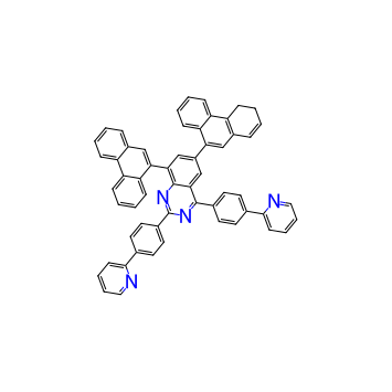 C1=Cc2cc(-c3cc(-c4cc5ccccc5c5ccccc45)c4nc(-c5ccc(-c6ccccn6)cc5)nc(-c5ccc(-c6ccccn6)cc5)c4c3)c3ccccc3c2CC1